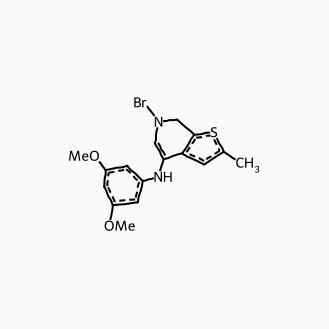 COc1cc(NC2=CN(Br)Cc3sc(C)cc32)cc(OC)c1